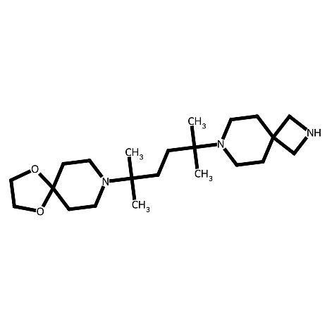 CC(C)(CCC(C)(C)N1CCC2(CC1)OCCO2)N1CCC2(CC1)CNC2